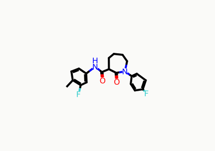 Cc1ccc(NC(=O)C2CCCCN(c3ccc(F)cc3)C2=O)cc1F